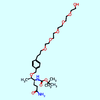 C[C@@H](OCc1ccc(CCCOCCOCCOCCOCCOCCO)cc1)[C@H](CCC(N)=O)NC(=O)OC(C)(C)C